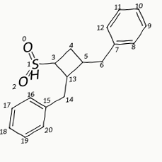 O=[SH](=O)C1CC(Cc2ccccc2)C1Cc1ccccc1